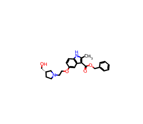 Cc1[nH]c2ccc(OCCN3CC[C@H](CO)C3)cc2c1C(=O)OCc1ccccc1